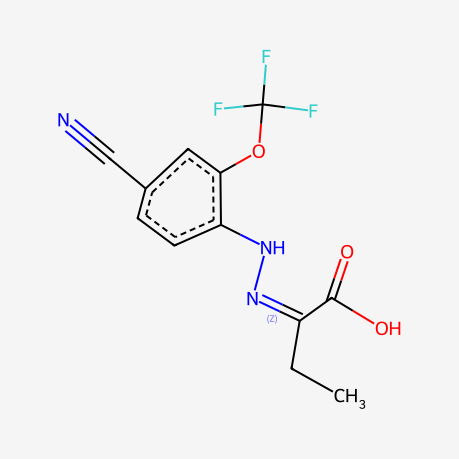 CC/C(=N/Nc1ccc(C#N)cc1OC(F)(F)F)C(=O)O